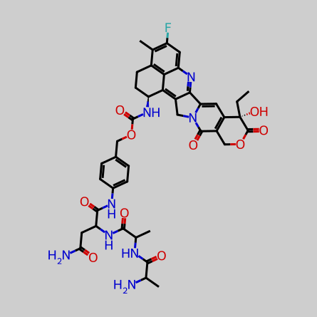 CC[C@@]1(O)C(=O)OCc2c1cc1n(c2=O)Cc2c-1nc1cc(F)c(C)c3c1c2[C@@H](NC(=O)OCc1ccc(NC(=O)C(CC(N)=O)NC(=O)C(C)NC(=O)C(C)N)cc1)CC3